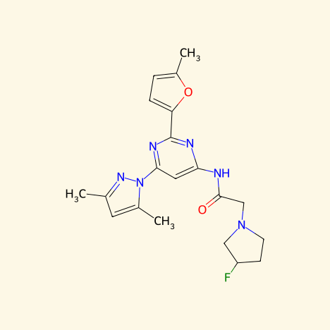 Cc1cc(C)n(-c2cc(NC(=O)CN3CCC(F)C3)nc(-c3ccc(C)o3)n2)n1